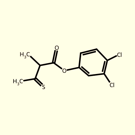 CC(=S)C(C)C(=O)Oc1ccc(Cl)c(Cl)c1